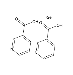 O=C(O)c1cccnc1.O=C(O)c1cccnc1.[Se]